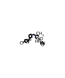 CC1CN(C(=O)Nc2cnoc2)CC/C1=C\c1cccc(Oc2ccc(Cl)cn2)c1